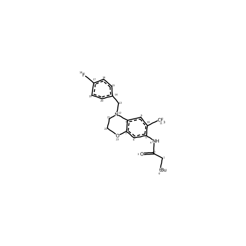 CC(C)(C)CC(=O)Nc1cc2c(cc1C(F)(F)F)N(Cc1ccc(F)cc1)CCO2